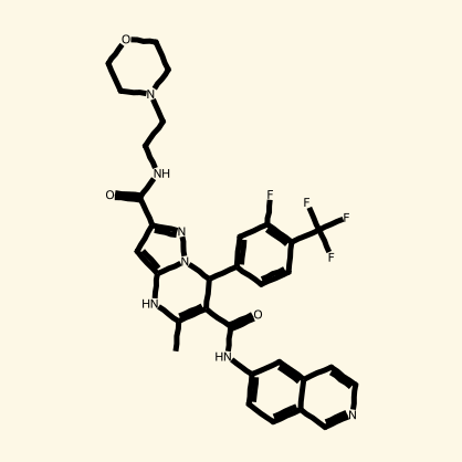 CC1=C(C(=O)Nc2ccc3cnccc3c2)C(c2ccc(C(F)(F)F)c(F)c2)n2nc(C(=O)NCCN3CCOCC3)cc2N1